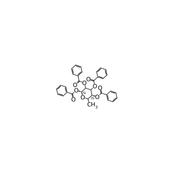 CC1O[C@@H](OC(=O)c2ccccc2)C(OC(=O)c2ccccc2)C(OC(=O)c2ccccc2)[C@H]1OC(=O)c1ccccc1